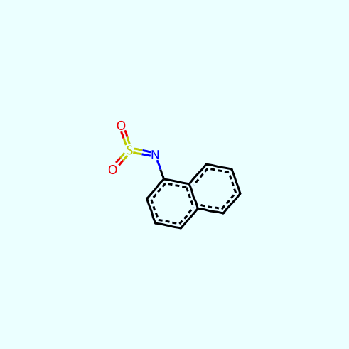 O=S(=O)=Nc1cccc2ccccc12